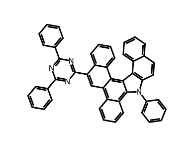 c1ccc(-c2nc(-c3ccccc3)nc(-c3cc4c5ccccc5c5c(c4c4ccccc34)c3c4ccccc4ccc3n5-c3ccccc3)n2)cc1